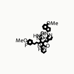 COc1ccc(CCc2nc3c(c(-c4cc5ccnc(N[C@@H]6CCc7c(OC)cccc76)c5s4)c2-c2n[nH]c(=O)o2)C(=O)N2CCC[C@@H]32)cc1F